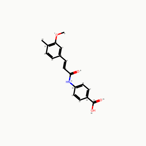 COc1cc(/C=C/C(=O)Nc2ccc(C(=O)O)cc2)ccc1C